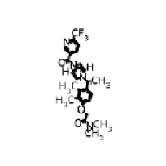 Cc1c(OCC(=O)N(C)C)ccc([C@H](C)N2C[C@@H]3C[C@H]2CN3C(=O)c2ccc(C(F)(F)F)nc2)c1C